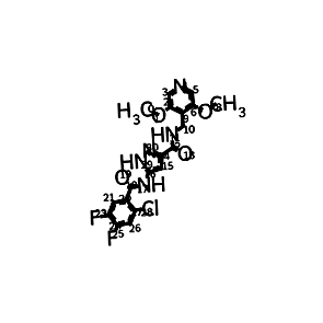 COc1cncc(OC)c1CNC(=O)c1cc(NC(=O)c2cc(F)c(F)cc2Cl)[nH]n1